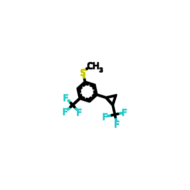 CSc1cc(C2CC2C(F)(F)F)cc(C(F)(F)F)c1